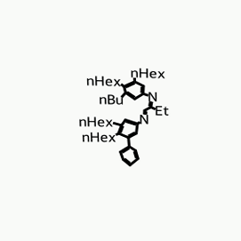 CCCCCCc1cc(N=C(C=Nc2cc(CCCCCC)c(CCCCCC)c(-c3ccccc3)c2)CC)cc(CCCC)c1CCCCCC